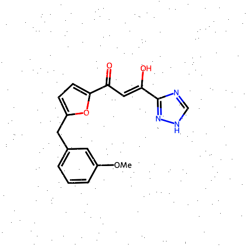 COc1cccc(Cc2ccc(C(=O)C=C(O)c3nc[nH]n3)o2)c1